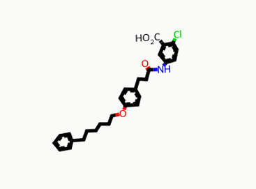 O=C(CCc1ccc(OCCCCCCc2ccccc2)cc1)Nc1ccc(Cl)c(C(=O)O)c1